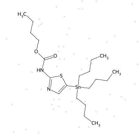 CCCCOC(=O)Nc1nc[c]([Sn]([CH2]CCC)([CH2]CCC)[CH2]CCC)s1